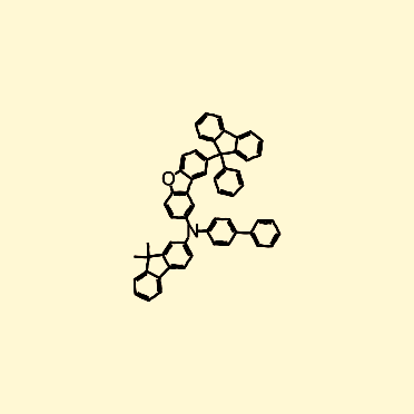 CC1(C)c2ccccc2-c2ccc(N(c3ccc(-c4ccccc4)cc3)c3ccc4oc5ccc(C6(c7ccccc7)c7ccccc7-c7ccccc76)cc5c4c3)cc21